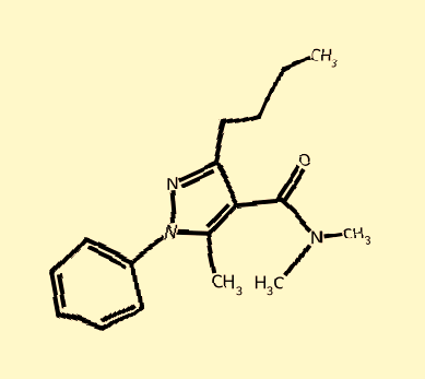 CCCCc1nn(-c2ccccc2)c(C)c1C(=O)N(C)C